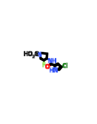 O=C(N[C@@H]1CCN(C(=O)O)C[C@@H]1F)c1cc(Cl)c[nH]1